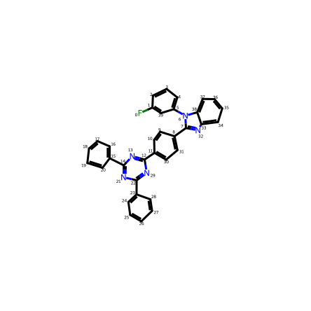 Fc1cccc(-n2c(-c3ccc(-c4nc(-c5ccccc5)nc(-c5ccccc5)n4)cc3)nc3ccccc32)c1